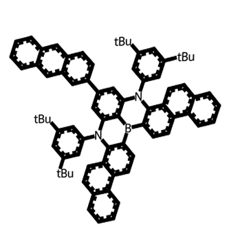 CC(C)(C)c1cc(N2c3cc(-c4ccc5cc6ccccc6cc5c4)cc4c3B(c3ccc5c(ccc6ccccc65)c32)c2ccc3c(ccc5ccccc53)c2N4c2cc(C(C)(C)C)cc(C(C)(C)C)c2)cc(C(C)(C)C)c1